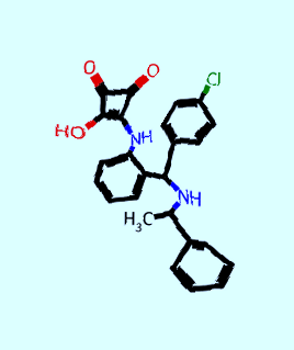 CC(NC(c1ccc(Cl)cc1)c1ccccc1Nc1c(O)c(=O)c1=O)c1ccccc1